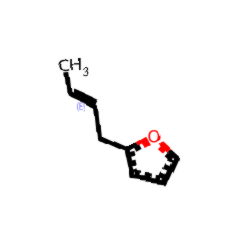 C/C=C/Cc1ccco1